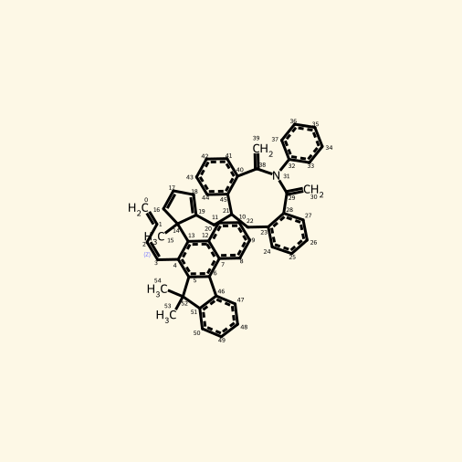 C=C/C=C\c1c2c(c3ccccc3c1C1(C)C=CC=C1CC1Cc3ccccc3C(=C)N(c3ccccc3)C(=C)c3ccccc31)-c1ccccc1C2(C)C